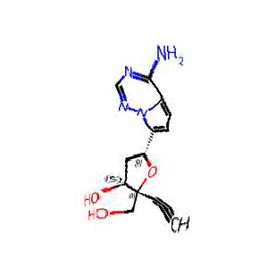 C#C[C@]1(CO)O[C@@H](c2ccc3c(N)ncnn23)C[C@@H]1O